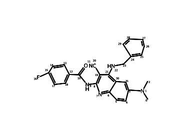 CN(C)c1ccc2nc(NC(=O)c3ccc(F)cc3)c(C#N)c(NCc3ccccc3)c2c1